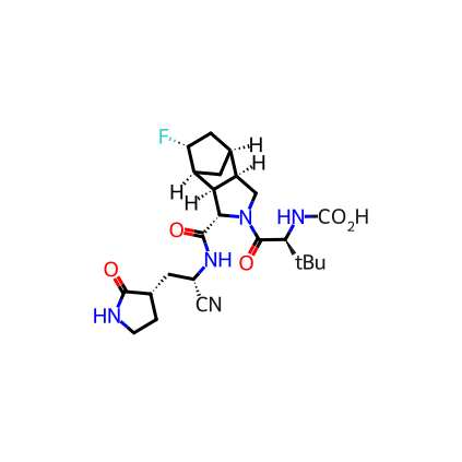 CC(C)(C)[C@H](NC(=O)O)C(=O)N1C[C@@H]2[C@H]3C[C@@H]([C@@H]2[C@H]1C(=O)N[C@H](C#N)C[C@@H]1CCNC1=O)[C@H](F)C3